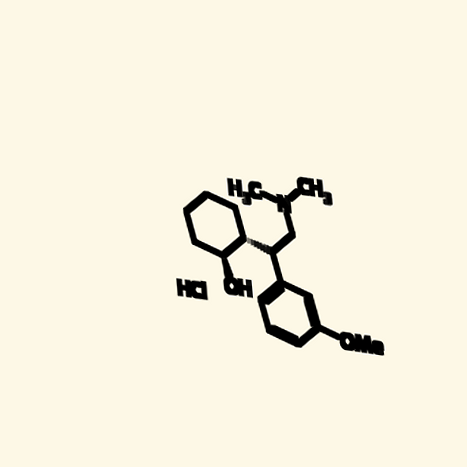 COc1cccc(C(CN(C)C)[C@H]2CCCC[C@@H]2O)c1.Cl